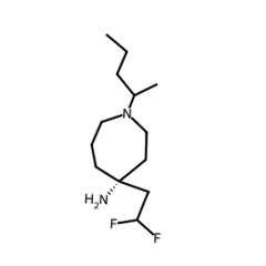 CCCC(C)N1CCC[C@](N)(CC(F)F)CC1